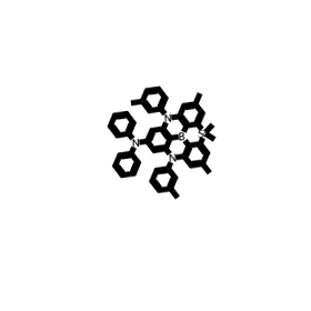 Cc1cccc(N2c3cc(N(c4ccccc4)c4ccccc4)cc4c3B3c5c2cc(C)cc5[Si](C)(C)c2cc(C)cc(c23)N4c2cccc(C)c2)c1